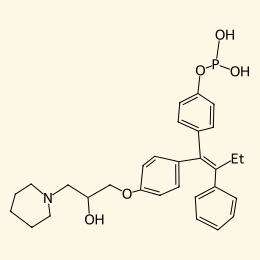 CCC(=C(c1ccc(OCC(O)CN2CCCCC2)cc1)c1ccc(OP(O)O)cc1)c1ccccc1